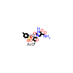 CC(=O)OC[C@H]1O[C@@H](n2cc(C(N)=O)c(=O)[nH]c2=O)[C@H](OC(C)=O)[C@H]1OS(=O)(=O)c1ccc(C)cc1